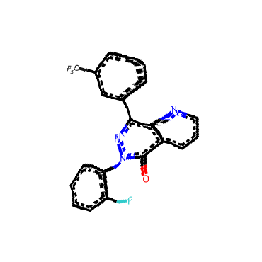 O=c1c2cccnc2c(-c2cccc(C(F)(F)F)c2)nn1-c1ccccc1F